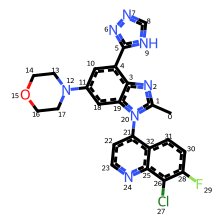 Cc1nc2c(-c3nnc[nH]3)cc(N3CCOCC3)cc2n1-c1ccnc2c(Cl)c(F)ccc12